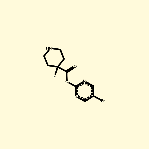 O=C(Oc1ncc(Br)cn1)C1(F)CCNCC1